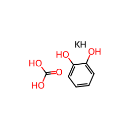 O=C(O)O.Oc1ccccc1O.[KH]